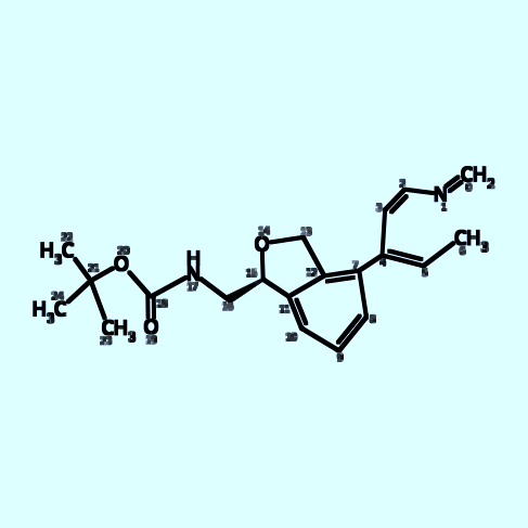 C=N/C=C\C(=C/C)c1cccc2c1CO[C@@H]2CNC(=O)OC(C)(C)C